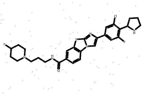 O=C(NCCCN1CCC(F)CC1)c1ccc2c(c1)sc1nc(-c3cc(F)c(C4CCCN4)c(Cl)c3)cn12